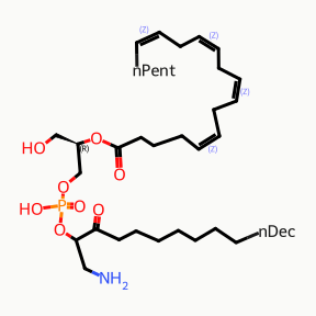 CCCCC/C=C\C/C=C\C/C=C\C/C=C\CCCC(=O)O[C@H](CO)COP(=O)(O)OC(CN)C(=O)CCCCCCCCCCCCCCCCC